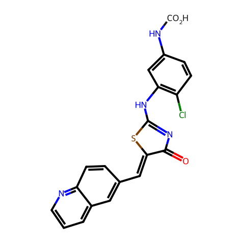 O=C(O)Nc1ccc(Cl)c(NC2=NC(=O)/C(=C/c3ccc4ncccc4c3)S2)c1